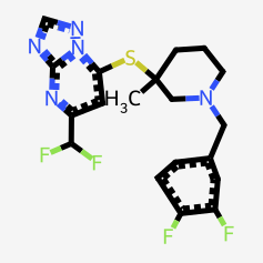 CC1(Sc2cc(C(F)F)nc3ncnn23)CCCN(Cc2ccc(F)c(F)c2)C1